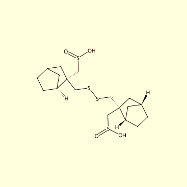 O=S(O)C[C@@]1(CSSC[C@]2(CS(=O)O)C[C@@H]3CC[C@H]2C3)CC2CC[C@H]1C2